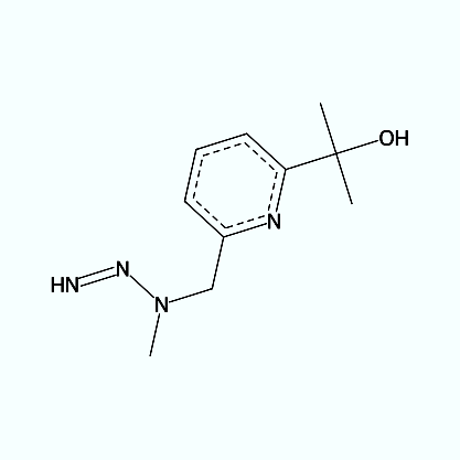 CN(Cc1cccc(C(C)(C)O)n1)N=N